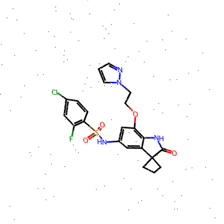 O=C1Nc2c(OCCn3cccn3)cc(NS(=O)(=O)c3ccc(Cl)cc3F)cc2C12CCC2